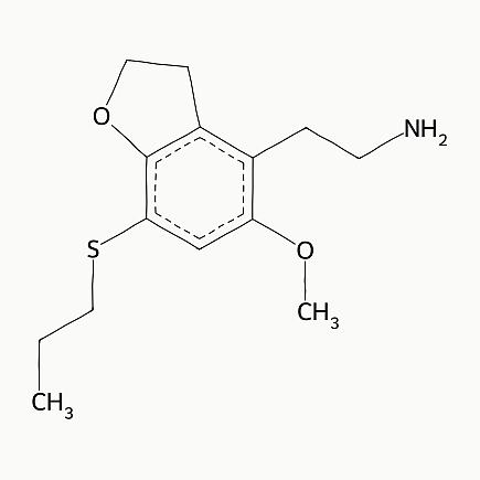 CCCSc1cc(OC)c(CCN)c2c1OCC2